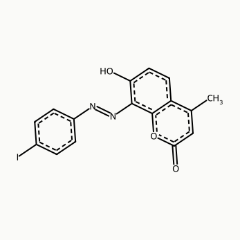 Cc1cc(=O)oc2c(N=Nc3ccc(I)cc3)c(O)ccc12